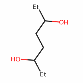 CCC(O)CCC(O)CC